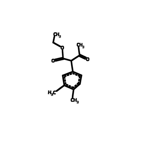 CCOC(=O)C(C(C)=O)c1ccc(C)c(C)c1